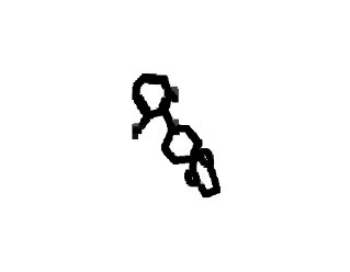 Fc1cccnc1N1CCC2(CC1)OCCO2